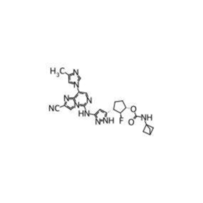 Cc1cn(-c2cnc(Nc3cc([C@@H]4CC[C@H](OC(=O)NC56CC(C5)C6)[C@H]4F)[nH]n3)n3cc(C#N)nc23)cn1